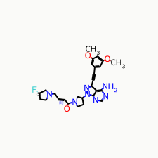 COc1cc(C#Cc2nn(C3CCN(C(=O)/C=C/CN4CC[C@H](F)C4)C3)c3ncnc(N)c23)cc(OC)c1